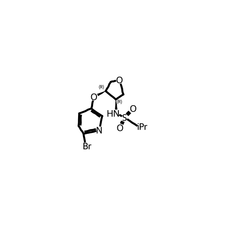 CC(C)S(=O)(=O)N[C@@H]1COC[C@@H]1Oc1ccc(Br)nc1